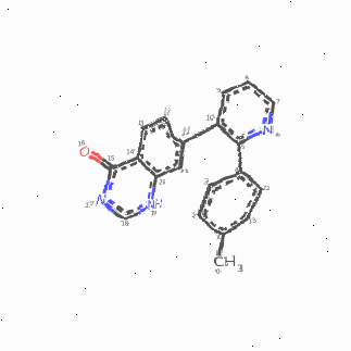 Cc1ccc(-c2ncccc2-c2ccc3c(=O)nc[nH]c3c2)cc1